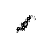 Cc1ccc(S(=O)(=O)N2CCOc3cc4ncnc(Nc5cccc(Br)c5)c4cc3OCC2)cc1